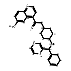 COc1ccc2nccc(C(=O)CC3CCC(NC(C4=CC=CCC4)C4=COC=CO4)CC3)c2c1